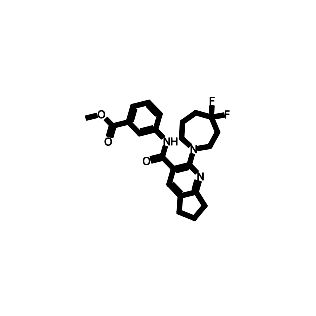 COC(=O)c1cccc(NC(=O)c2cc3c(nc2N2CCCC(F)(F)CC2)CCC3)c1